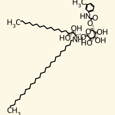 CCCCCCCCCCCCCCCCCCCCCCCCCCN[C@@H](CO[C@H]1O[C@H](COC(=O)Nc2cccc(C)c2)[C@H](O)[C@H](O)[C@H]1O)[C@H](O)[C@H](O)CCCCCCCCCCCCCC